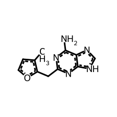 Cc1ccoc1Cc1nc(N)c2nc[nH]c2n1